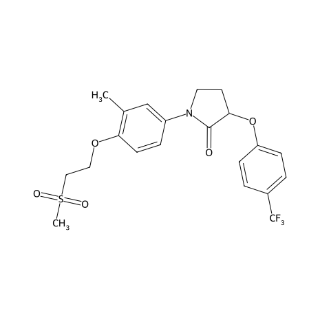 Cc1cc(N2CCC(Oc3ccc(C(F)(F)F)cc3)C2=O)ccc1OCCS(C)(=O)=O